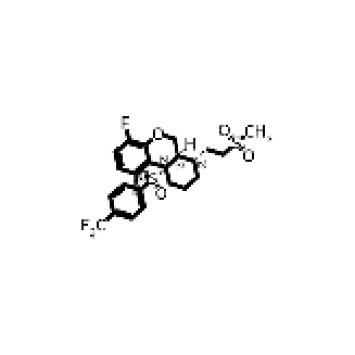 CS(=O)(=O)CC[C@@H]1CCC[C@@]2(S(=O)(=O)c3ccc(C(F)(F)F)cc3)c3c(F)ccc(F)c3OC[C@@H]12